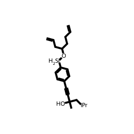 C=CCCC(CC=C)O[SiH2]c1ccc(C#CC(C)(O)CC(C)C)cc1